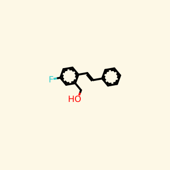 OCc1cc(F)ccc1/C=C/c1ccccc1